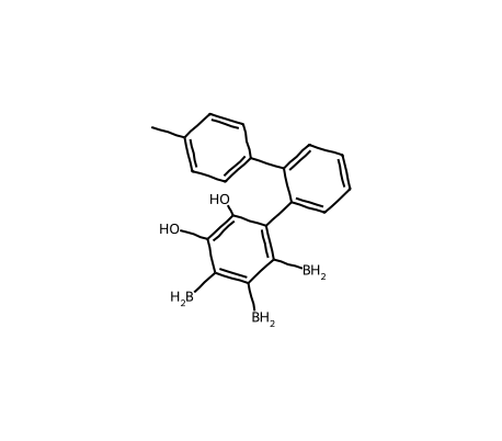 Bc1c(B)c(O)c(O)c(-c2ccccc2-c2ccc(C)cc2)c1B